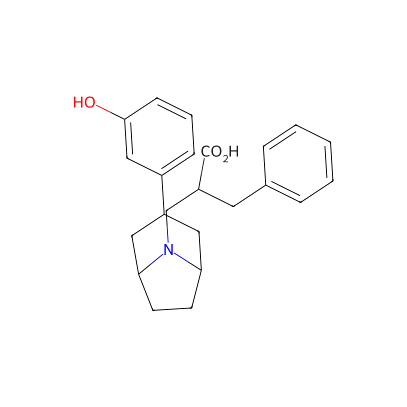 O=C(O)C(Cc1ccccc1)CN1C2CCC1CC(c1cccc(O)c1)C2